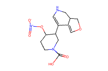 O=C(O)N1CCC(O[N+](=O)[O-])C(C2=CNCC3COC=C23)C1